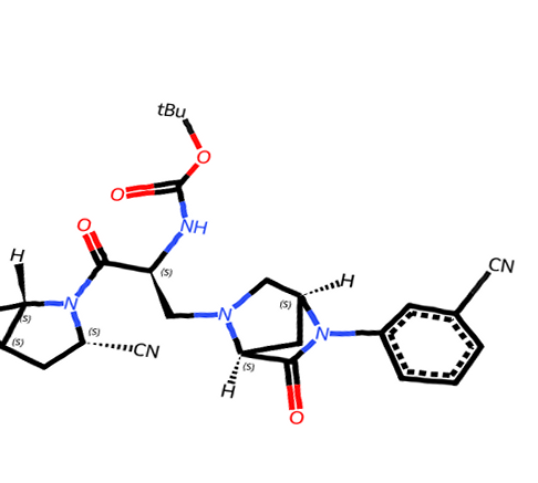 CC(C)(C)OC(=O)N[C@@H](CN1C[C@@H]2C[C@H]1C(=O)N2c1cccc(C#N)c1)C(=O)N1[C@H](C#N)C[C@@H]2C[C@@H]21